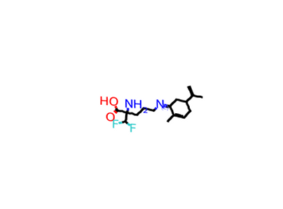 C=C(C)C1CC=C(C)/C(=N\CCCC(N)(C(=O)O)C(F)F)C1